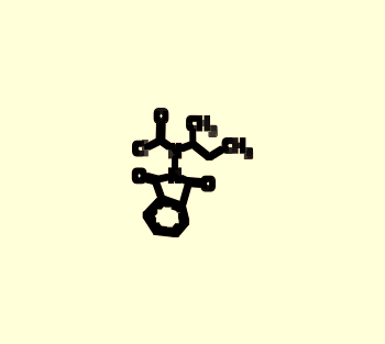 CCC(C)N(C(=O)Cl)N1C(=O)c2ccccc2C1=O